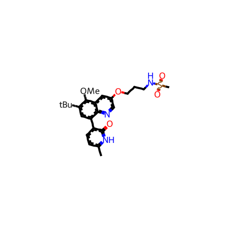 COc1c(C(C)(C)C)cc(-c2ccc(C)[nH]c2=O)c2ncc(OCCCNS(C)(=O)=O)cc12